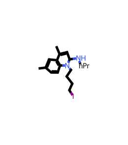 CCCNC1C=C(C)c2cc(C)ccc2N1CCCCI